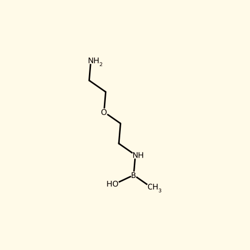 CB(O)NCCOCCN